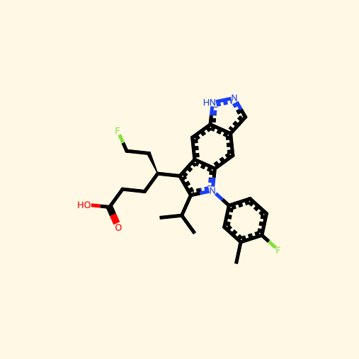 Cc1cc(-n2c(C(C)C)c([C@H](CCF)CCC(=O)O)c3cc4[nH]ncc4cc32)ccc1F